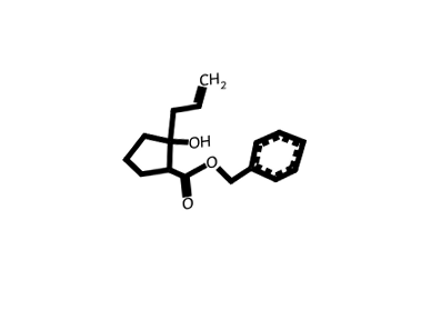 C=CCC1(O)CCCC1C(=O)OCc1ccccc1